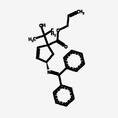 C=CCOC(=O)C1(C(C)(C)O)C=C[C@@H](N=C(c2ccccc2)c2ccccc2)C1